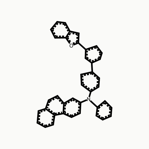 c1ccc(N(c2ccc(-c3cccc(-c4cc5ccccc5o4)c3)cc2)c2ccc3c(ccc4ccccc43)c2)cc1